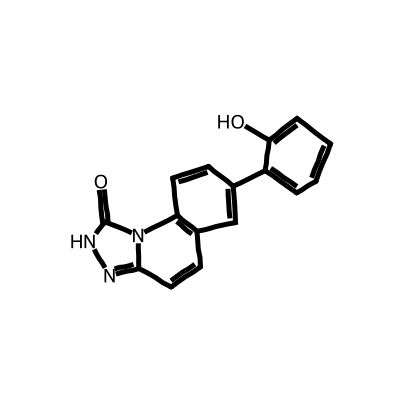 O=c1[nH]nc2ccc3cc(-c4ccccc4O)ccc3n12